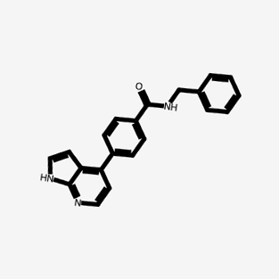 O=C(NCc1ccccc1)c1ccc(-c2ccnc3[nH]ccc23)cc1